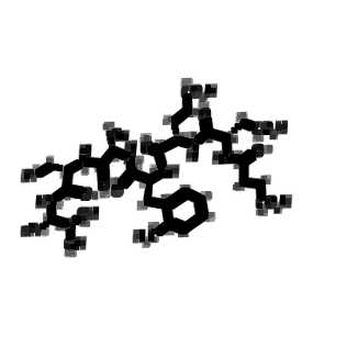 CCC[C@H](NC(=O)[C@H](CC(C)C)NC(=O)[C@@H](NC(=O)[C@H](Cc1ccccc1C)NC(=O)[C@H](CCC(=O)O)NC(=O)[C@H](CC(=O)O)NC(=O)CCC(=O)O)C(C)(C)C)B(O)O